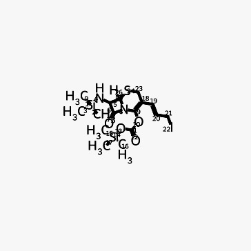 C[Si](C)(C)NC1C(=O)N2C(OC(=O)O[Si](C)(C)C)=C(C=CCI)CS[C@@H]12